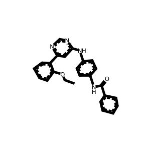 CCOc1ccccc1-c1cc(Nc2ccc(NC(=O)c3ccccc3)cc2)ncn1